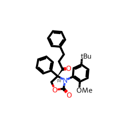 COc1ccc(C(C)(C)C)cc1N1C(=O)OC[C@]1(C(=O)CCc1ccccc1)c1ccccc1